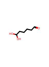 O=CCCCCC(O)O